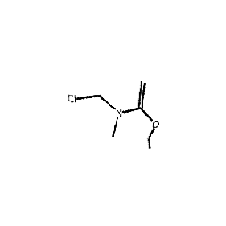 C=C(OC)N(C)CCl